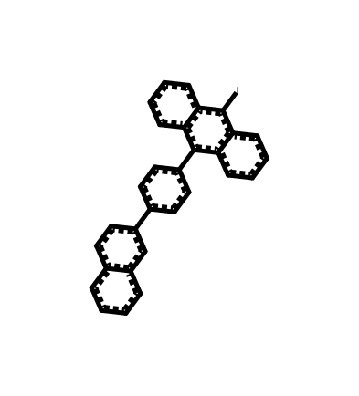 Ic1c2ccccc2c(-c2ccc(-c3ccc4ccccc4c3)cc2)c2ccccc12